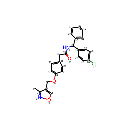 Cc1nocc1COc1ccc(CC(=O)NC(c2ccccc2)c2ccc(Cl)cc2)cc1